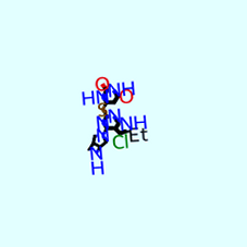 CCc1[nH]c2nc(Sc3cc(=O)[nH]c(=O)[nH]3)nc(N3CC4CNC4C3)c2c1Cl